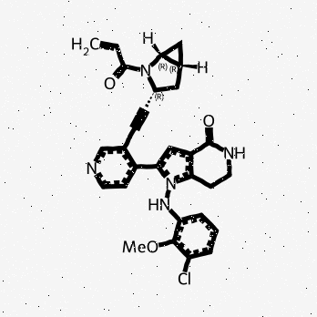 C=CC(=O)N1[C@@H]2C[C@@H]2C[C@@H]1C#Cc1cnccc1-c1cc2c(n1Nc1cccc(Cl)c1OC)CCNC2=O